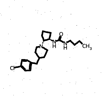 CCCCNC(=O)N[C@@H]1CCC[C@H]1N1CCC(Cc2ccc(Cl)cc2)CC1